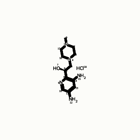 CN1CCN(C[C@H](O)c2ncc(N)cc2N)CC1.Cl